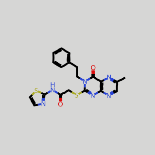 Cc1cnc2nc(SCC(=O)Nc3nccs3)n(CCc3ccccc3)c(=O)c2n1